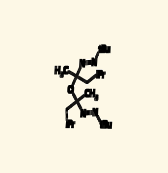 CC(C)CC(C)(N=NC(C)(C)C)OC(C)(CC(C)C)N=NC(C)(C)C